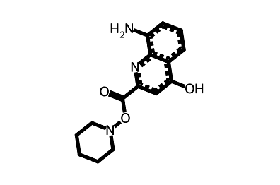 Nc1cccc2c(O)cc(C(=O)ON3CCCCC3)nc12